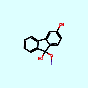 Oc1ccc2c(c1)-c1ccccc1C2(O)OI